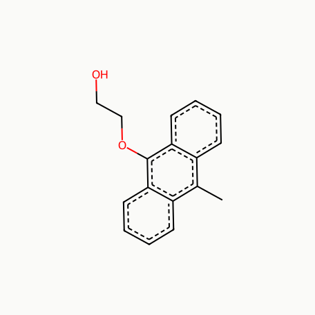 Cc1c2ccccc2c(OCCO)c2ccccc12